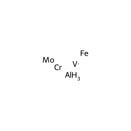 [AlH3].[Cr].[Fe].[Mo].[V]